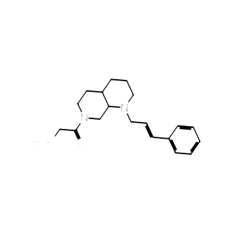 CCC(=O)N1CCC2CCCN(C/C=C/c3ccccc3)C2C1